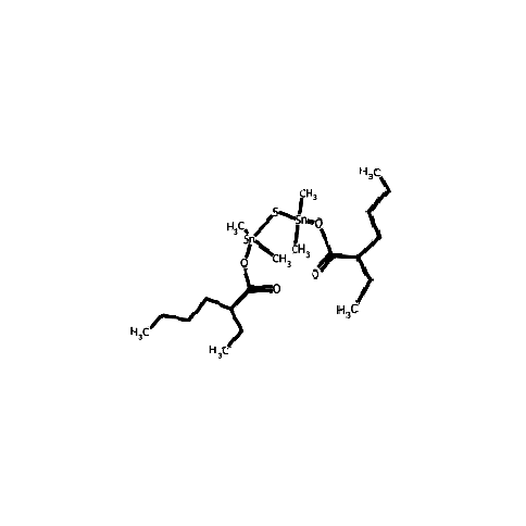 CCCCC(CC)C(=O)[O][Sn]([CH3])([CH3])[S][Sn]([CH3])([CH3])[O]C(=O)C(CC)CCCC